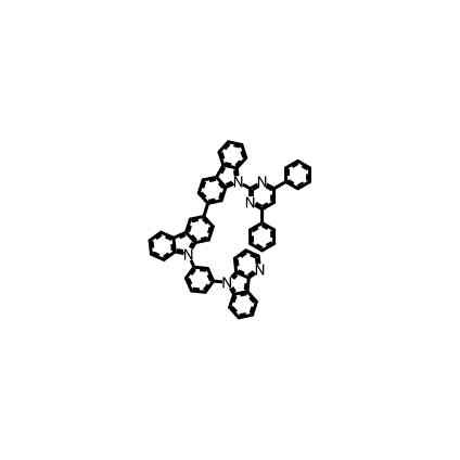 c1ccc(-c2cc(-c3ccccc3)nc(-n3c4ccccc4c4ccc(-c5ccc6c(c5)c5ccccc5n6-c5cccc(-n6c7ccccc7c7ncccc76)c5)cc43)n2)cc1